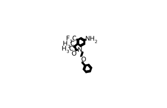 CC1(C)C(=O)N(CCOCc2ccccc2)c2cc(N)cc(C(F)(F)F)c21